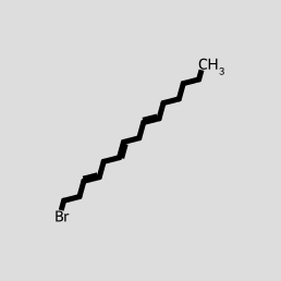 CCCCCC=CCC=CCC=CCCBr